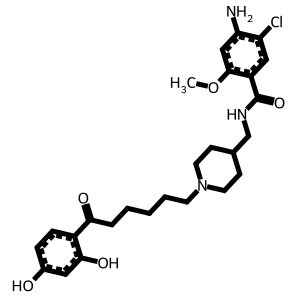 COc1cc(N)c(Cl)cc1C(=O)NCC1CCN(CCCCCC(=O)c2ccc(O)cc2O)CC1